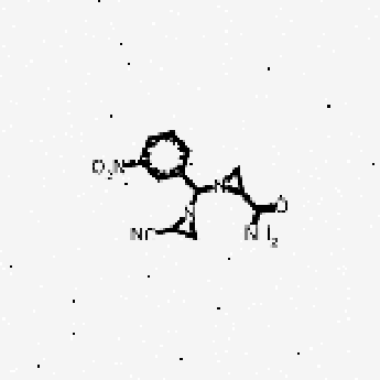 N#CC1CN1C(c1cccc([N+](=O)[O-])c1)N1CC1C(N)=O